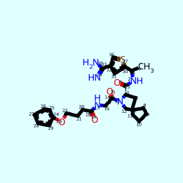 CC(NC(=O)[C@@H]1CC2(CCCC2)CN1C(=O)CNC(=O)CCCOc1ccccc1)c1cc(C(=N)N)cs1